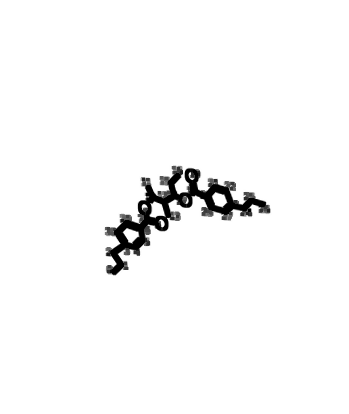 CCCc1ccc(C(=O)OC(C)C(C)C(CC)OC(=O)c2ccc(CCC)cc2)cc1